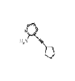 Nc1ncccc1C#CC1CCCC1